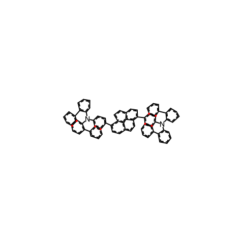 c1ccc(-c2ccccc2N(c2ccc(-c3ccc4ccc5c(-c6ccc(N(c7ccccc7-c7ccccc7)c7ccccc7-c7ccccc7)cc6)ccc6ccc3c4c65)cc2)c2ccccc2-c2ccccc2)cc1